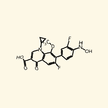 COc1c(-c2ccc(NO)c(F)c2)c(F)cc2c(=O)c(C(=O)O)cn(C3CC3)c12